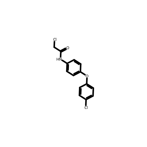 O=C(CCl)Nc1ccc(Oc2ccc(Cl)cc2)cc1